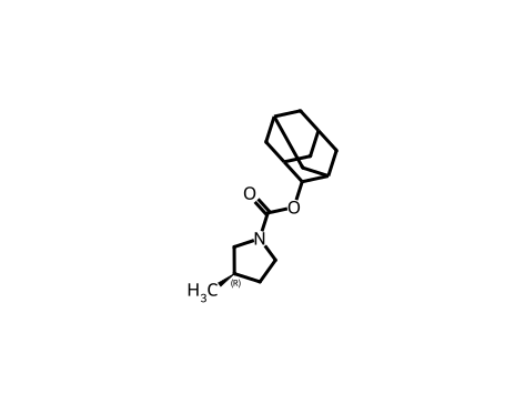 C[C@@H]1CCN(C(=O)OC2C3CC4CC(C3)CC2C4)C1